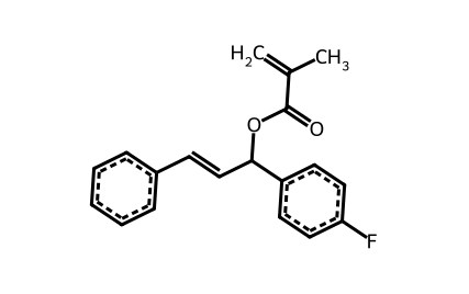 C=C(C)C(=O)OC(/C=C/c1ccccc1)c1ccc(F)cc1